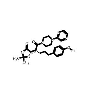 CCOc1ccc(CCC[C@@H](C(=O)N2CCN(c3cnccn3)CC2)[C@@H]2OC(C)(C)OC2=O)cc1